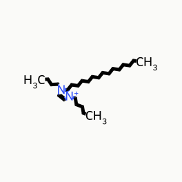 CCCCCCCCCCCCCCc1n(CCCC)cc[n+]1CCCCC